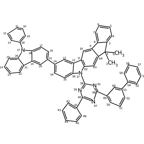 CC1(C)c2ccccc2-c2cc3c4cc(-c5ccc6c(c5)c5ccccc5n6-c5ccccc5)ccc4n(-c4nc(-c5ccccc5)nc(-c5cccc(-c6ccccc6)c5)n4)c3cc21